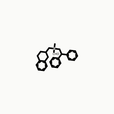 C[N+](C=O)(CC1CCc2ccccc2C1)CC(c1ccccc1)c1ccccc1